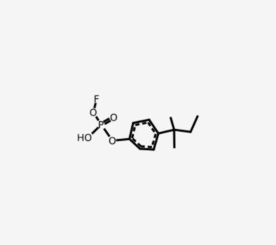 CCC(C)(C)c1ccc(OP(=O)(O)OF)cc1